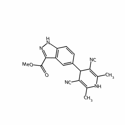 [C-]#[N+]C1=C(C)NC(C)=C(C#N)C1c1ccc2[nH]nc(C(=O)OC)c2c1